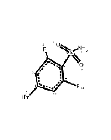 CC(C)c1cc(F)c(S(N)(=O)=O)c(F)c1